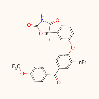 CCCc1cc(C(=O)c2ccc(OC(F)(F)F)cc2)ccc1Oc1cccc([C@@]2(C)OC(=O)NC2=O)c1